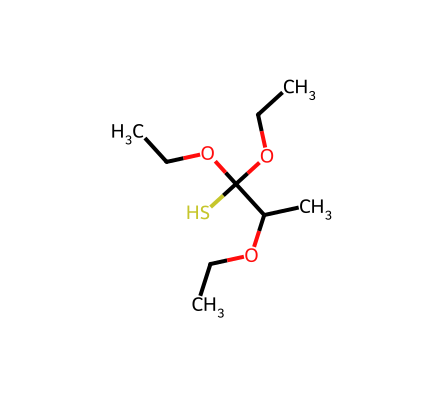 CCOC(C)C(S)(OCC)OCC